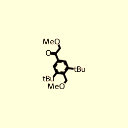 COCC(=O)c1cc(C(C)(C)C)c(COC)c(C(C)(C)C)c1